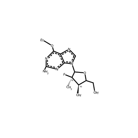 CCOc1nc(N)nc2c1ncn2C1OC(CO)[C@@H](O)[C@@]1(C)F